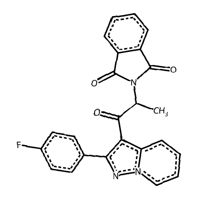 CC(C(=O)c1c(-c2ccc(F)cc2)nn2ccccc12)N1C(=O)c2ccccc2C1=O